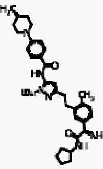 C=C1CCN(c2ccc(C(=O)Nc3cc(CCc4cc(C(=N)C(=O)NC5CCCC5)ccc4C)nn3C(C)(C)C)cc2)CC1